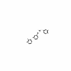 Cc1c(Oc2cccc(-c3nnc(Nc4ccc(Cl)c(Cl)c4)s3)c2)cccc1C(=O)O